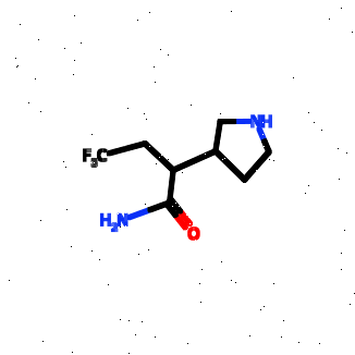 NC(=O)C(CC(F)(F)F)C1CCNC1